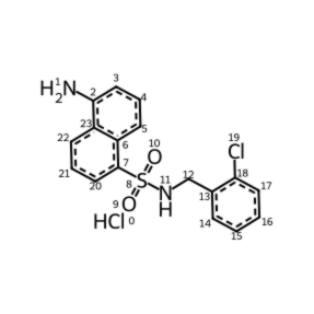 Cl.Nc1cccc2c(S(=O)(=O)NCc3ccccc3Cl)cccc12